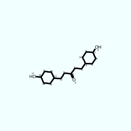 O=C(CCC1CCC(O)CC1)CCC1CCC(O)CC1